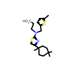 Cc1ccc(CN(CCC(=O)O)c2nc(C3(C)CCC(C)(C)CC3)cs2)s1